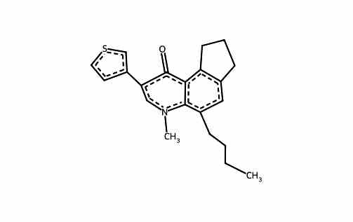 CCCCc1cc2c(c3c(=O)c(-c4ccsc4)cn(C)c13)CCC2